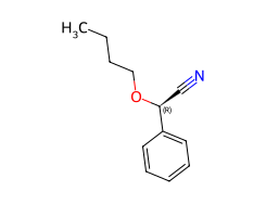 CCCCO[C@@H](C#N)c1ccccc1